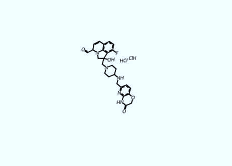 Cl.Cl.O=CC1C=Cc2ccc(F)c3c2N1CC3(O)CN1CCC(NCc2ccc3c(n2)NC(=O)CO3)CC1